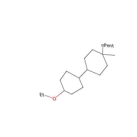 CCCCCC1(C)CCC(C2CCC(OCC)CC2)CC1